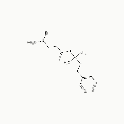 CC(C)(CCc1ccccc1)OC(=O)CCC(Br)C(=O)O